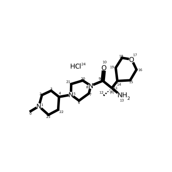 CN1CCC(N2CCN(C(=O)[C@](C)(N)C3CCOCC3)CC2)CC1.Cl